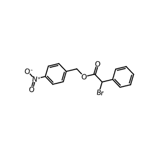 O=C(OCc1ccc([N+](=O)[O-])cc1)C(Br)c1ccccc1